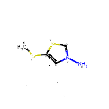 CSC1=CN(N)CS1